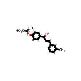 Cc1cccc(/C=C/C(=O)c2ccc(OC(C)C(=O)O)cc2)c1